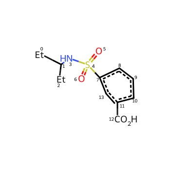 CCC(CC)NS(=O)(=O)c1cccc(C(=O)O)c1